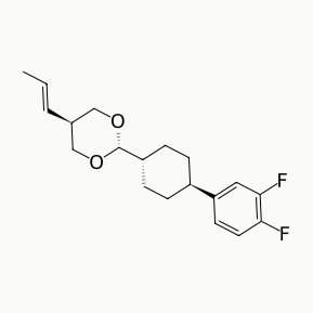 CC=C[C@H]1CO[C@H]([C@H]2CC[C@H](c3ccc(F)c(F)c3)CC2)OC1